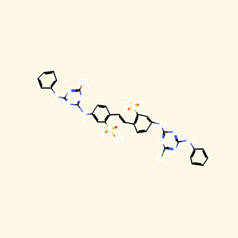 O=S(=O)(O)c1cc(Nc2nc(O)nc(Nc3ccccc3)n2)ccc1/C=C/c1ccc(Nc2nc(Cl)nc(Nc3ccccc3)n2)cc1S(=O)(=O)O